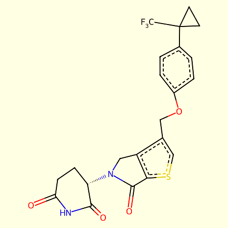 O=C1CC[C@H](N2Cc3c(COc4ccc(C5(C(F)(F)F)CC5)cc4)csc3C2=O)C(=O)N1